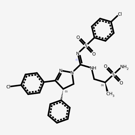 C[C@@H](CN/C(=N\S(=O)(=O)c1ccc(Cl)cc1)N1C[C@H](c2ccccc2)C(c2ccc(Cl)cc2)=N1)S(N)(=O)=O